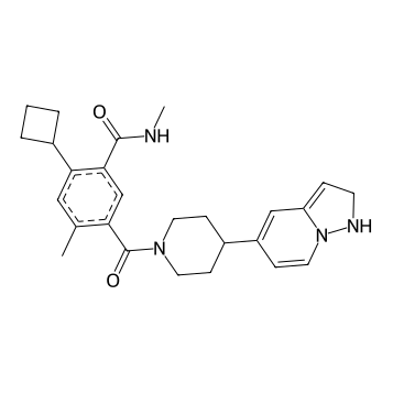 CNC(=O)c1cc(C(=O)N2CCC(C3=CC4=CCNN4C=C3)CC2)c(C)cc1C1CCC1